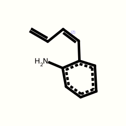 C=C/C=C\c1ccccc1N